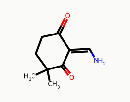 CC1(C)CCC(=O)C(=CN)C1=O